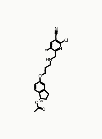 CC(=O)O[C@H]1CCc2cc(OCCCNCc3nc(Cl)c(C#N)cc3F)ccc21